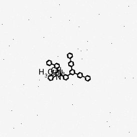 C[Si]1(C)c2ccccc2-c2nc(-c3cccc(-c4cc(-c5ccc(-c6ccccc6)cc5)cc(-c5ccc(-c6ccccc6)cc5)c4)c3)nc(-c3cccc(-c4ccccc4)c3)c21